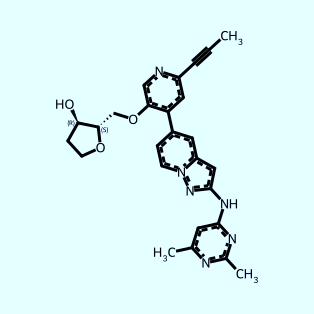 CC#Cc1cc(-c2ccn3nc(Nc4cc(C)nc(C)n4)cc3c2)c(OC[C@@H]2OCC[C@H]2O)cn1